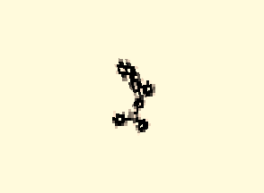 c1ccc(-c2nc(-c3ccccc3)nc(-c3ccc(-n4c5ccccc5c5c6sc7ccc8ccccc8c7c6ccc54)cc3)n2)cc1